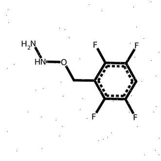 NNOCc1c(F)c(F)cc(F)c1F